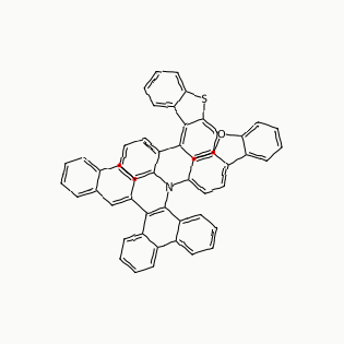 c1ccc(N(c2ccc3c(c2)oc2ccccc23)c2c(-c3ccc4ccccc4c3)c3ccccc3c3ccccc23)c(-c2cccc3sc4ccccc4c23)c1